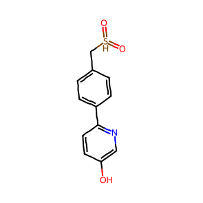 O=[SH](=O)Cc1ccc(-c2ccc(O)cn2)cc1